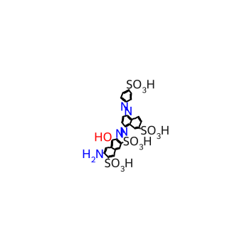 Nc1cc2c(O)c(N=Nc3ccc(N=Nc4ccc(S(=O)(=O)O)cc4)c4ccc(S(=O)(=O)O)cc34)c(S(=O)(=O)O)cc2cc1S(=O)(=O)O